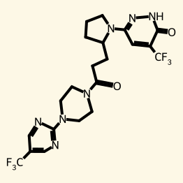 O=C(CCC1CCCN1c1cc(C(F)(F)F)c(=O)[nH]n1)N1CCN(c2ncc(C(F)(F)F)cn2)CC1